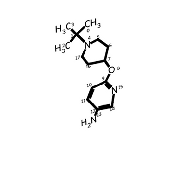 CC(C)(C)N1CCC(Oc2ccc(N)cn2)CC1